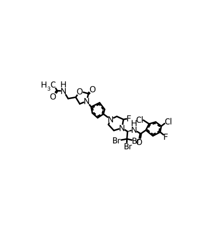 CC(=O)NCC1CN(c2ccc(N3CCN([C@@H](NC(=O)c4cc(F)c(Cl)cc4Cl)C(Br)(Br)Br)C(F)C3)cc2)C(=O)O1